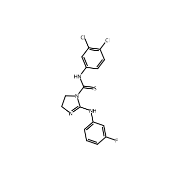 Fc1cccc(NC2=NCCN2C(=S)Nc2ccc(Cl)c(Cl)c2)c1